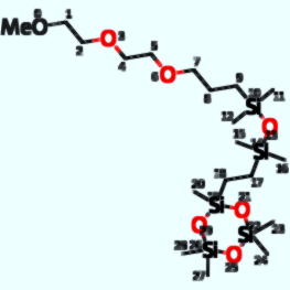 COCCOCCOCCC[Si](C)(C)O[Si](C)(C)CC[Si]1(C)O[Si](C)(C)O[Si](C)(C)O1